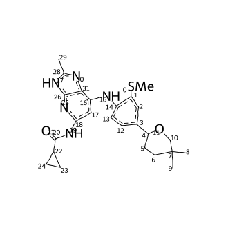 CSc1cc(C2CCC(C)(C)CO2)ccc1Nc1cc(NC(=O)C2CC2)nc2[nH]c(C)nc12